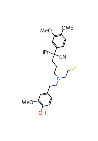 COc1cc(CCN(CCF)CCCC(C#N)(c2ccc(OC)c(OC)c2)C(C)C)ccc1O